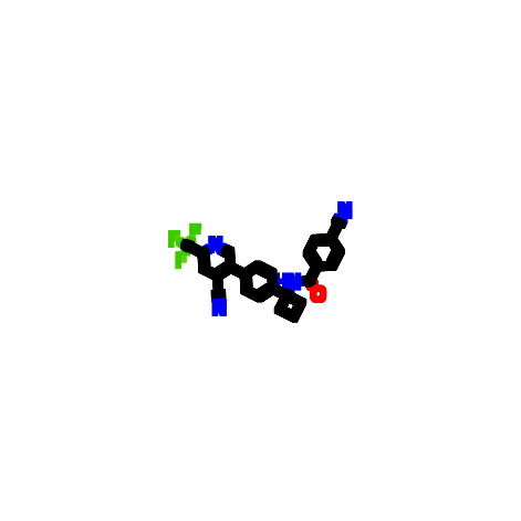 N#Cc1ccc(C(=O)NC2(c3ccc(-c4cnc(C(F)(F)F)cc4C#N)cc3)CCC2)cc1